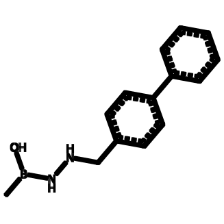 CB(O)NNCc1ccc(-c2ccccc2)cc1